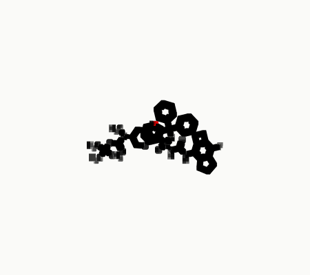 CN(C(=O)OC(C)(C)C)[C@@H]1COc2c([S@](=O)(=NC(c3ccccc3)(c3ccccc3)c3ccccc3)NC(=O)Nc3c4c(c(F)c5c3CC5)CCC4)cnn2C1